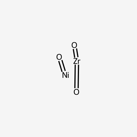 [O]=[Ni].[O]=[Zr]=[O]